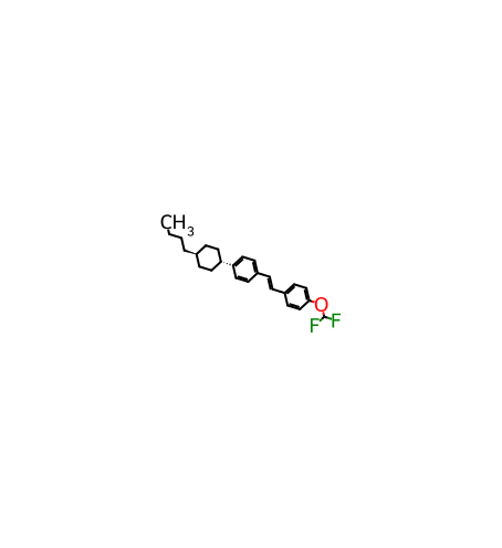 CCCC[C@H]1CC[C@H](c2ccc(C=Cc3ccc(OC(F)F)cc3)cc2)CC1